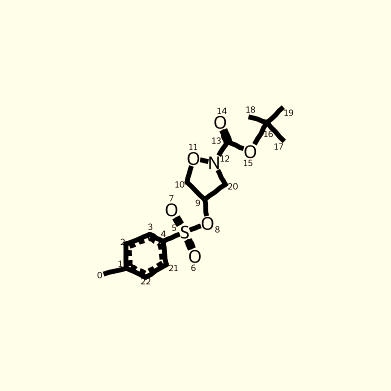 Cc1ccc(S(=O)(=O)OC2CON(C(=O)OC(C)(C)C)C2)cc1